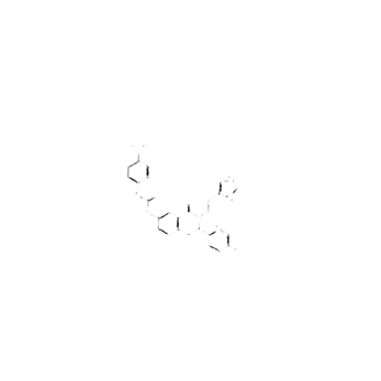 C[S+]([O-])c1ccc(NC(=O)Nc2ccc3c(c2)C(=O)N(CCc2c[nH]cn2)C(c2ccc(Cl)cn2)C3)cc1